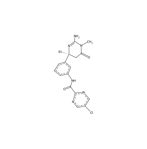 CC[C@@]1(c2cccc(NC(=O)c3ncc(Cl)cn3)c2)CC(=O)N(C)C(N)=N1